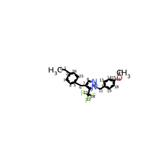 CCc1ccc(Cc2cnn(Cc3ccc(OC)cc3)c2C(F)(F)F)cc1